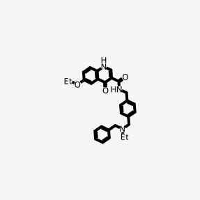 CCOc1ccc2[nH]cc(C(=O)NCc3ccc(CN(CC)Cc4ccccc4)cc3)c(=O)c2c1